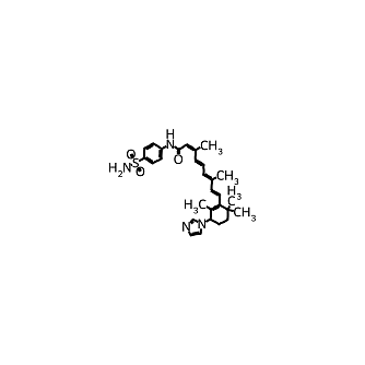 CC1=C(/C=C/C(C)=C/C=C/C(C)=C\C(=O)Nc2ccc(S(N)(=O)=O)cc2)C(C)(C)CCC1n1ccnc1